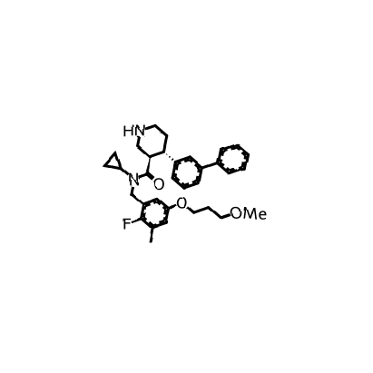 COCCCOc1cc(C)c(F)c(CN(C(=O)[C@H]2CNCC[C@@H]2c2cccc(-c3ccccc3)c2)C2CC2)c1